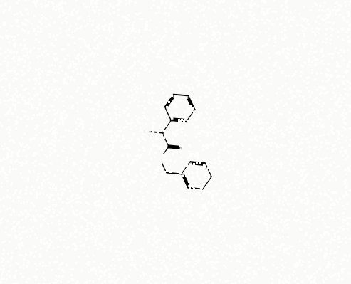 CC[C@H](OC(=O)C(N=O)c1ccccc1)C1=CCCC=C1